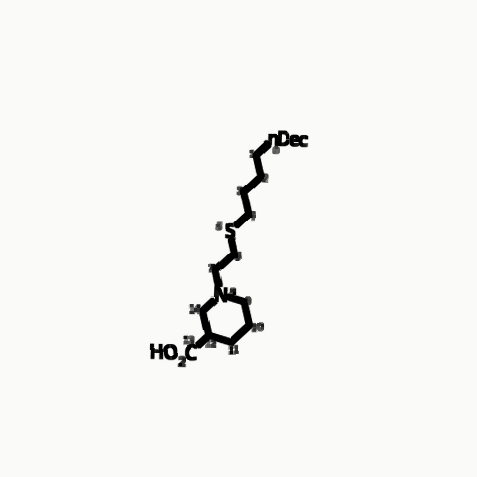 CCCCCCCCCCCCCCSCCN1CCCC(C(=O)O)C1